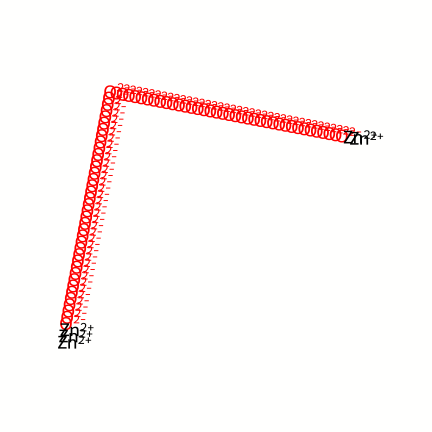 [O-2].[O-2].[O-2].[O-2].[O-2].[O-2].[O-2].[O-2].[O-2].[O-2].[O-2].[O-2].[O-2].[O-2].[O-2].[O-2].[O-2].[O-2].[O-2].[O-2].[O-2].[O-2].[O-2].[O-2].[O-2].[O-2].[O-2].[O-2].[O-2].[O-2].[O-2].[O-2].[O-2].[O-2].[O-2].[O-2].[O-2].[O-2].[O-2].[O-2].[O-2].[O-2].[O-2].[O-2].[O-2].[O-2].[O-2].[O-2].[O-2].[O-2].[O-2].[O-2].[O-2].[O-2].[O-2].[O-2].[O-2].[O-2].[O-2].[O-2].[O-2].[O-2].[O-2].[O-2].[O-2].[O-2].[O-2].[O-2].[O-2].[O-2].[O-2].[O-2].[O-2].[O-2].[O-2].[Zn+2].[Zn+2].[Zn+2].[Zn+2].[Zn+2]